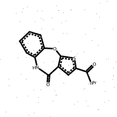 CCCC(=O)c1cc2c(s1)Oc1ccccc1NC2=O